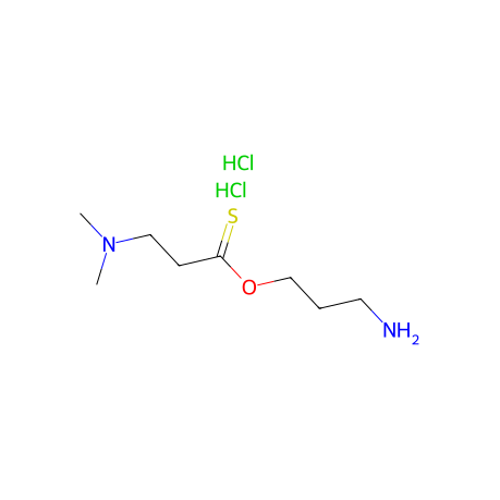 CN(C)CCC(=S)OCCCN.Cl.Cl